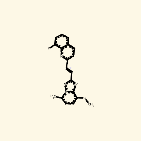 COc1ccc(C)n2nc(/C=C/c3ccc4cccc(F)c4n3)nc12